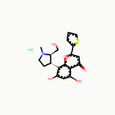 CN1CC[C@@H](c2c(O)cc(O)c3c(=O)cc(-c4cccs4)oc23)[C@@H]1CO.Cl